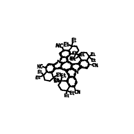 CCC1(CC)CCC(CC)(CC)c2c1c(C#N)cc1c2c2c3c4c5c(c(C#N)cc4n4c6cc(C#N)c7c(c6c(c6c8c9c(c(C#N)cc8n1c26)C(CC)(CC)CCC9(CC)CC)c34)C(CC)(CC)CCC7(CC)CC)C(CC)(CC)CCC5(CC)CC